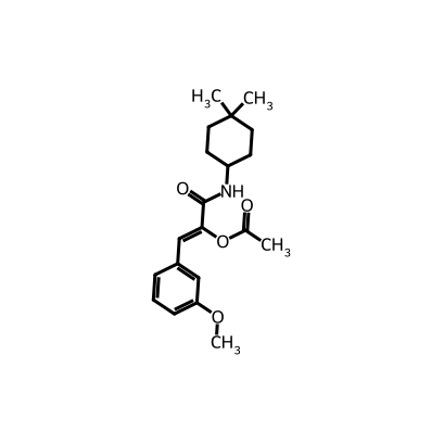 COc1cccc(C=C(OC(C)=O)C(=O)NC2CCC(C)(C)CC2)c1